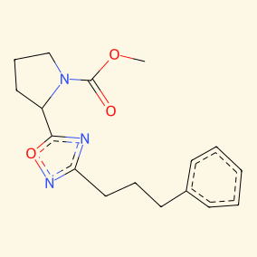 COC(=O)N1CCCC1c1nc(CCCc2ccccc2)no1